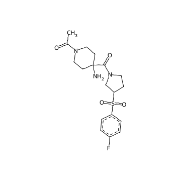 CC(=O)N1CCC(N)(C(=O)N2CCC(S(=O)(=O)c3ccc(F)cc3)C2)CC1